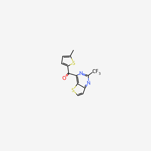 Cc1ccc(C(=O)c2nc(C(F)(F)F)nc3ccsc23)s1